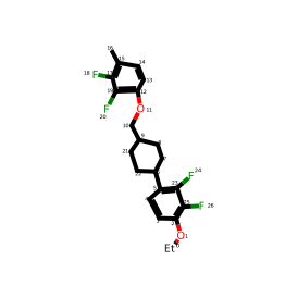 CCOc1ccc(C2CCC(COc3ccc(C)c(F)c3F)CC2)c(F)c1F